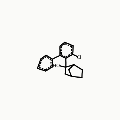 OC1(c2c(Cl)cccc2-c2ccccc2)CC2CCC1C2